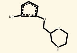 N#Cc1cccc(OCC2CNCCO2)c1